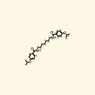 CC(C)Oc1ccc(C(=O)NCCCCCCCNC(=O)c2ccc(OC(C)C)cc2)cc1